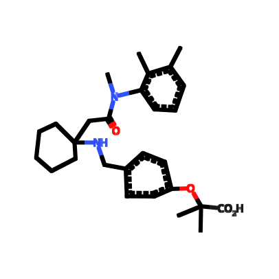 Cc1cccc(N(C)C(=O)CC2(NCc3ccc(OC(C)(C)C(=O)O)cc3)CCCCC2)c1C